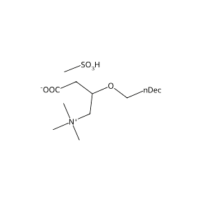 CCCCCCCCCCCOC(CC(=O)[O-])C[N+](C)(C)C.CS(=O)(=O)O